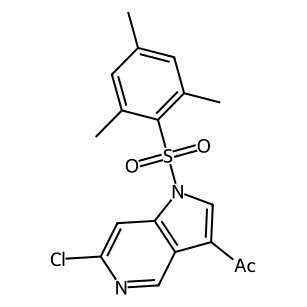 CC(=O)c1cn(S(=O)(=O)c2c(C)cc(C)cc2C)c2cc(Cl)ncc12